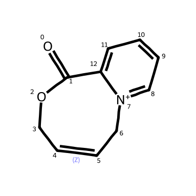 O=C1OC/C=C\C[n+]2ccccc21